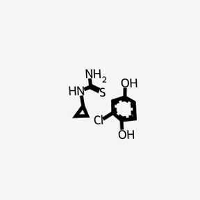 NC(=S)NC1CC1.Oc1ccc(O)c(Cl)c1